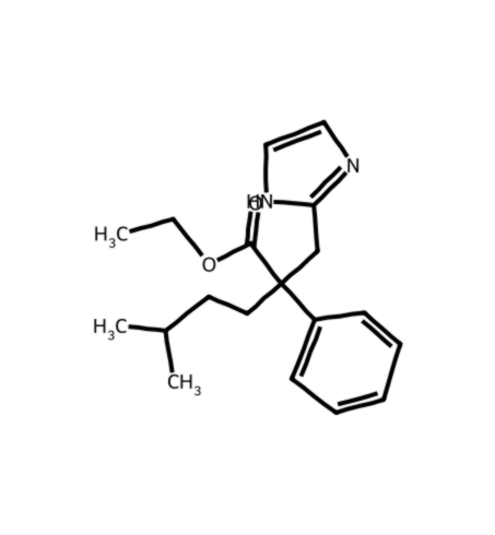 CCOC(=O)C(CCC(C)C)(Cc1ncc[nH]1)c1ccccc1